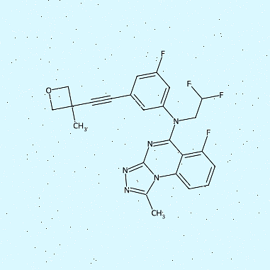 Cc1nnc2nc(N(CC(F)F)c3cc(F)cc(C#CC4(C)COC4)c3)c3c(F)cccc3n12